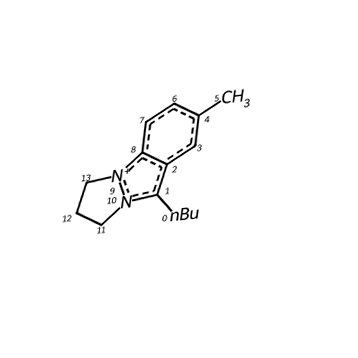 CCCCc1c2cc(C)ccc2[n+]2n1CCC2